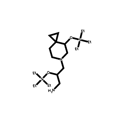 CC[Si](CC)(CC)OC(CN)CN1CCC2(CC2)C(O[Si](CC)(CC)CC)C1